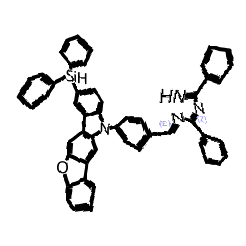 N=C(/N=C(\N=C\c1ccc(-n2c3ccc([SiH](c4ccccc4)c4ccccc4)cc3c3cc4oc5ccccc5c4cc32)cc1)c1ccccc1)c1ccccc1